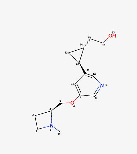 CN1CC[C@H]1COc1cncc([C@H]2C[C@@H]2CCO)c1